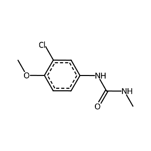 CNC(=O)Nc1ccc(OC)c(Cl)c1